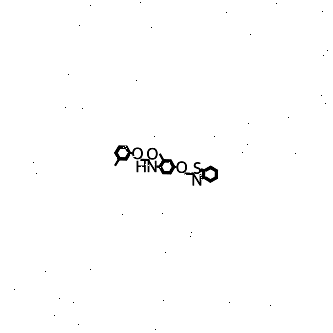 Cc1cccc(OCC(=O)Nc2ccc(OCc3nc4ccccc4s3)cc2C)c1